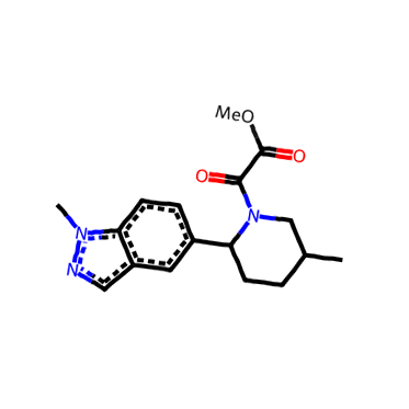 COC(=O)C(=O)N1CC(C)CCC1c1ccc2c(cnn2C)c1